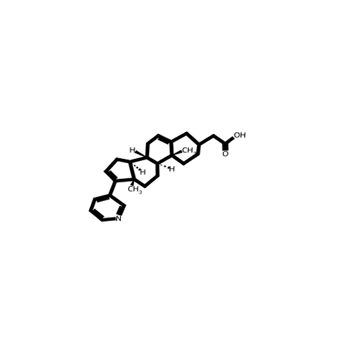 C[C@]12CCC(CC(=O)O)CC1=CC[C@@H]1[C@@H]2CC[C@]2(C)C(c3cccnc3)=CC[C@@H]12